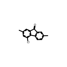 Cc1ccc2c(c1)C(=O)c1cc(C)cc(Cl)c1-2